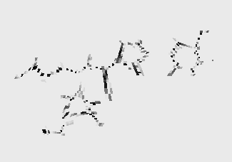 CNCCC(NC(=O)c1ccc(-c2ccc(C)c(F)c2)[nH]1)c1nc(C)c(CO)s1